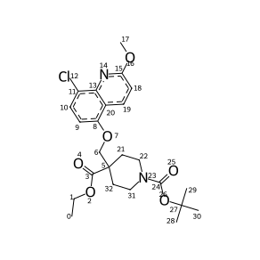 CCOC(=O)C1(COc2ccc(Cl)c3nc(OC)ccc23)CCN(C(=O)OC(C)(C)C)CC1